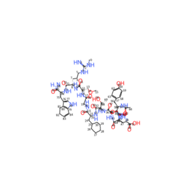 CNC(=N)NCCC[C@H](NC(=O)[C@H](COC)NC(=O)CNC(=O)[C@H](CC1CCCCC1)NC(=O)[C@@H](NC(=O)[C@H](CC(N)=O)NC(=O)[C@H](CCC(=O)O)NC(=O)[C@@H](Cc1ccc(O)cc1)NC(C)=O)[C@@H](C)O)C(=O)N[C@@H](Cc1c[nH]c2c1CCC=C2)C(N)=O